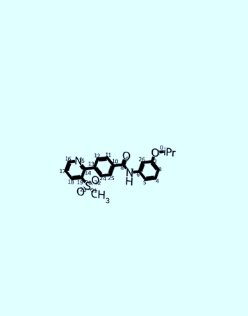 CC(C)Oc1cccc(NC(=O)c2ccc(-c3ncccc3S(C)(=O)=O)cc2)c1